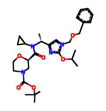 CC(C)Oc1nc([C@@H](C)N(C(=O)[C@H]2CN(C(=O)OC(C)(C)C)CCO2)C2CC2)cn1COCc1ccccc1